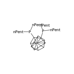 CCCCCP(CCCCC)[C]12[CH]3[CH]4[CH]5[C]1(P(CCCCC)CCCCC)[Ni]43521678[CH]2[CH]1[CH]6[CH]7[CH]28